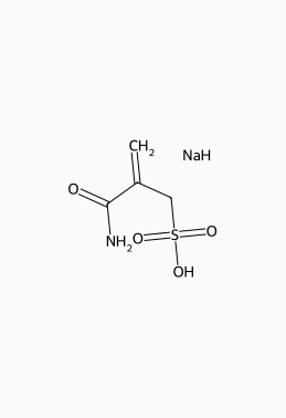 C=C(CS(=O)(=O)O)C(N)=O.[NaH]